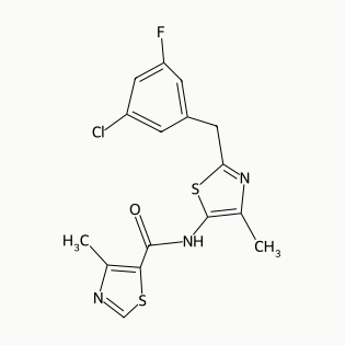 Cc1nc(Cc2cc(F)cc(Cl)c2)sc1NC(=O)c1scnc1C